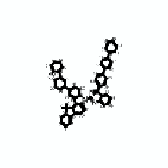 CC1(C)c2ccccc2-c2ccc3c(c21)c1cc(-c2ccc4oc5ccccc5c4c2)ccc1n3-c1nc(-c2ccc(-c3ccc(-c4ccccc4)cc3)cc2)c2ccccc2n1